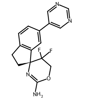 NC1=N[C@@]2(CCc3ccc(-c4cncnc4)cc32)C(F)(F)CO1